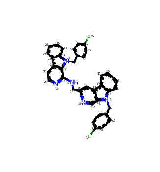 Fc1ccc(Cn2c3ccccc3c3cc(CNc4nccc5c6ccccc6n(Cc6ccc(F)cc6)c45)ncc32)cc1